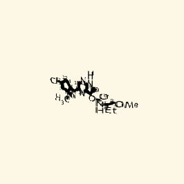 CC[C@H](COC)NC(=O)Oc1c[nH]c2ncc(-c3nn(C)c4cc(Cl)ccc34)nc12